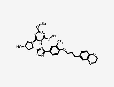 CC(C)(C)OC(=O)/N=C(\NC(=O)OC(C)(C)C)N1C[C@H](O)C[C@H]1c1nc(-c2ccc(OCCCc3ccc4c(c3)OCCO4)c(C(F)(F)F)c2)no1